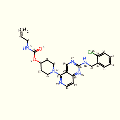 C=CCNC(=O)OC1CCN(c2nccc3nc(NCc4ccccc4Cl)ncc23)CC1